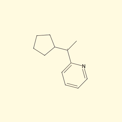 C[C](c1ccccn1)C1CCCC1